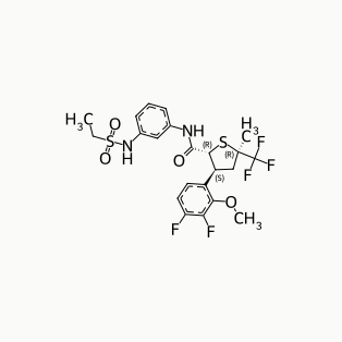 CCS(=O)(=O)Nc1cccc(NC(=O)[C@@H]2S[C@@](C)(C(F)(F)F)C[C@H]2c2ccc(F)c(F)c2OC)c1